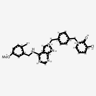 COc1ccc(F)c(CNc2ncnc3nn(Cc4ccc(Cn5cccc(Cl)c5=O)cc4)cc23)c1